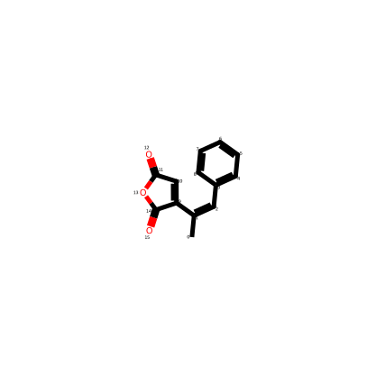 CC(=Cc1ccccc1)C1=CC(=O)OC1=O